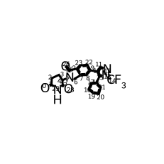 O=C1CCC(N2Cc3cc(-c4cnn(C(F)(F)F)c4-c4ccccc4)ccc3C2=O)C(=O)N1